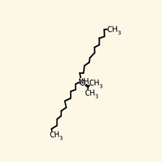 CC(C)=O.CCCCCCCCCCCCNCCCCCCCCCCCC